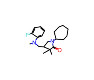 CN(CC1CN(C2CCCCCC2)C(=O)C1(C)C)c1ccccc1F